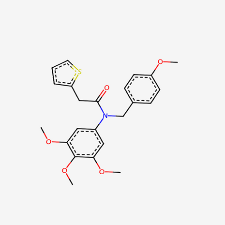 COc1ccc(CN(C(=O)Cc2cccs2)c2cc(OC)c(OC)c(OC)c2)cc1